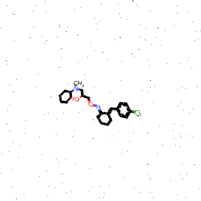 CN(C[C@H](O)CO/N=C1\CCCC\C1=C/c1ccc(Cl)cc1)C1CCCCC1